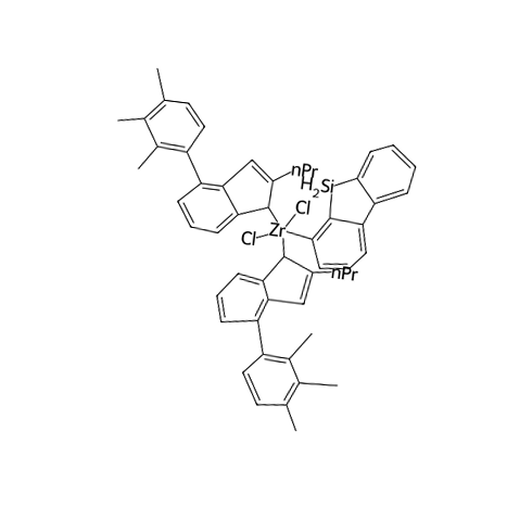 CCCC1=Cc2c(-c3ccc(C)c(C)c3C)cccc2[CH]1[Zr]([Cl])([Cl])([c]1cccc2c1[SiH2]c1ccccc1-2)[CH]1C(CCC)=Cc2c(-c3ccc(C)c(C)c3C)cccc21